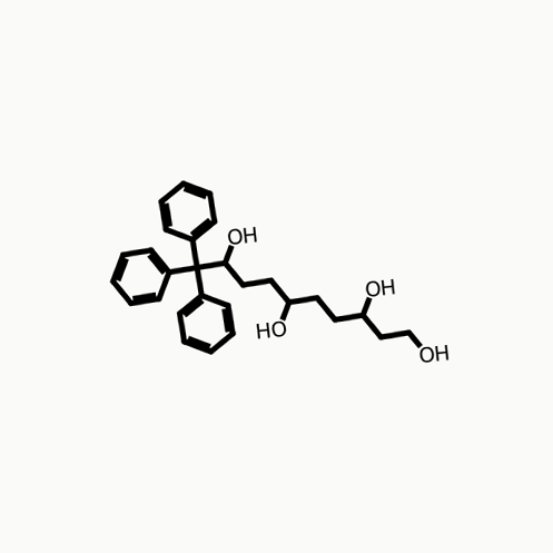 OCCC(O)CCC(O)CCC(O)C(c1ccccc1)(c1ccccc1)c1ccccc1